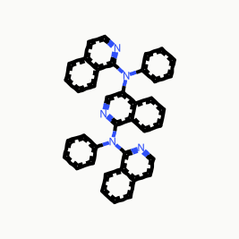 c1ccc(N(c2nccc3ccccc23)c2cnc(N(c3ccccc3)c3nccc4ccccc34)c3ccccc23)cc1